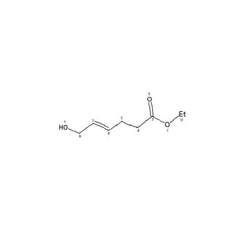 CCOC(=O)CC/C=C/CO